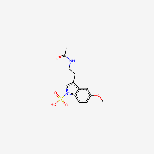 COc1ccc2c(c1)c(CCNC(C)=O)cn2S(=O)(=O)O